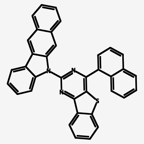 c1ccc2cc3c(cc2c1)c1ccccc1n3-c1nc(-c2cccc3ccccc23)c2sc3ccccc3c2n1